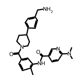 Cc1ccc(C(=O)N2CCC(c3ccc(CN)cc3)CC2)cc1NC(=O)c1ccc(N(C)C)nc1